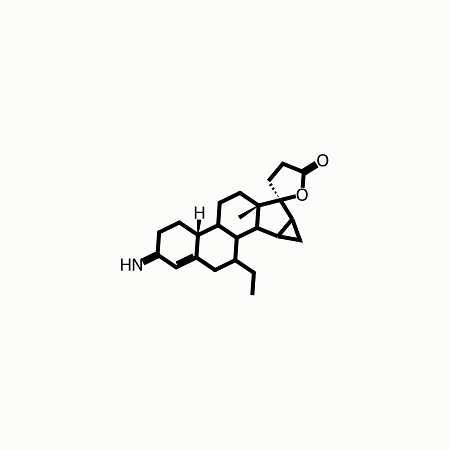 CCC1CC2=CC(=N)CC[C@@H]2C2CC[C@@]3(C)C(C4CC4[C@@]34CCC(=O)O4)C12